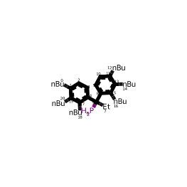 CCCCc1ccc(C(P)(CC)c2ccc(CCCC)c(CCCC)c2CCCC)c(CCCC)c1CCCC